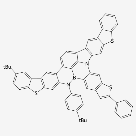 CC(C)(C)c1ccc(N2B3c4cc5cc(-c6ccccc6)sc5cc4-n4c5cc6sc7ccccc7c6cc5c5ccc(c3c54)-c3cc4c(cc32)sc2ccc(C(C)(C)C)cc24)cc1